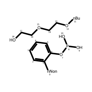 CCCCCCCCCc1ccccc1OP(O)O.CCCCOCCOCCO